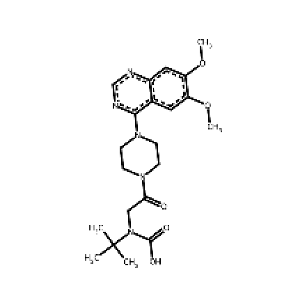 COc1cc2ncnc(N3CCN(C(=O)CN(C(=O)O)C(C)(C)C)CC3)c2cc1OC